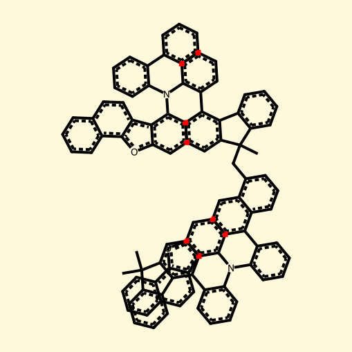 CC1(C)c2ccccc2-c2c(-c3ccccc3N(c3ccccc3-c3cccc4c(CC5(C)c6ccccc6-c6c(-c7ccccc7N(c7ccccc7-c7ccccc7)c7cccc8oc9c%10ccccc%10ccc9c78)cccc65)cccc34)c3cccc4oc5c6ccccc6ccc5c34)cccc21